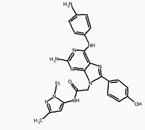 CCn1nc(C)cc1NC(=O)Cn1c(-c2ccc(O)cc2)nc2c(Nc3ccc(N)cc3)nc(N)nc21